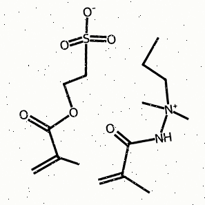 C=C(C)C(=O)N[N+](C)(C)CCC.C=C(C)C(=O)OCCS(=O)(=O)[O-]